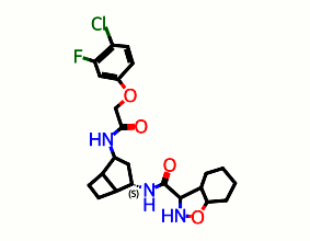 O=C(COc1ccc(Cl)c(F)c1)NC1C[C@H](NC(=O)C2NOC3CCCCC32)C2CCC12